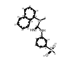 CN(C(=N)Nc1cccc(S(C)(=O)=O)c1)c1cccc2ccccc12